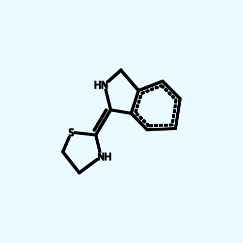 c1ccc2c(c1)CNC2=C1NCCS1